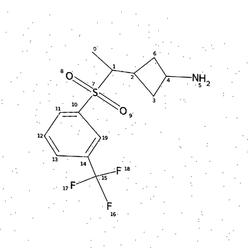 CC(C1CC(N)C1)S(=O)(=O)c1cccc(C(F)(F)F)c1